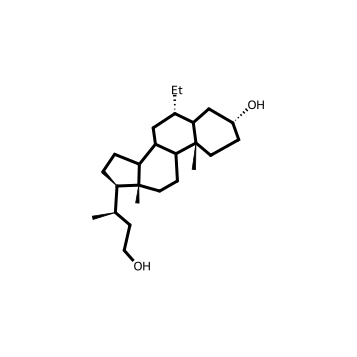 CC[C@H]1CC2C(CC[C@@]3(C)C2CC[C@@H]3[C@H](C)CCO)[C@@]2(C)CC[C@@H](O)CC12